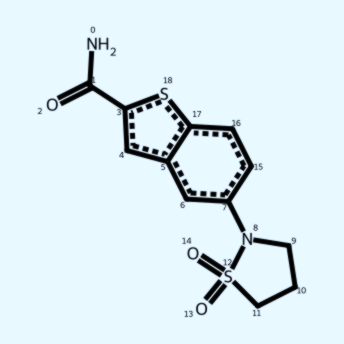 NC(=O)c1cc2cc(N3CCCS3(=O)=O)ccc2s1